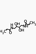 C=CC(=O)NCC(O)C(O)CNC(=O)C=C